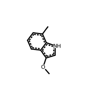 COc1c[nH]c2c(C)cccc12